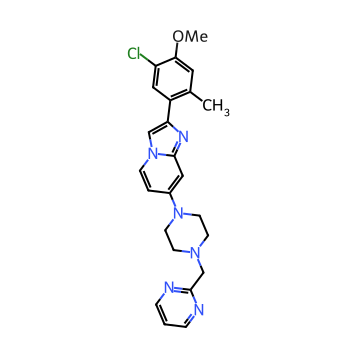 COc1cc(C)c(-c2cn3ccc(N4CCN(Cc5ncccn5)CC4)cc3n2)cc1Cl